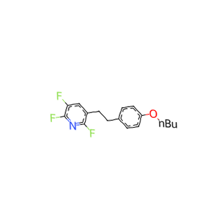 CCCCOc1ccc(CCc2cc(F)c(F)nc2F)cc1